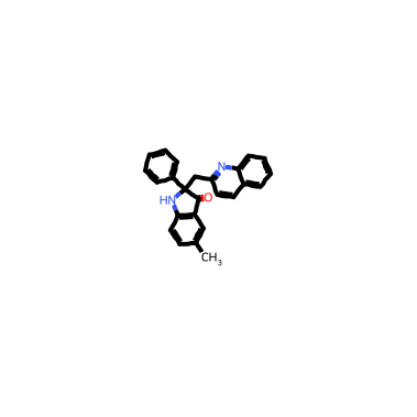 Cc1ccc2c(c1)C(=O)C(Cc1ccc3ccccc3n1)(c1ccccc1)N2